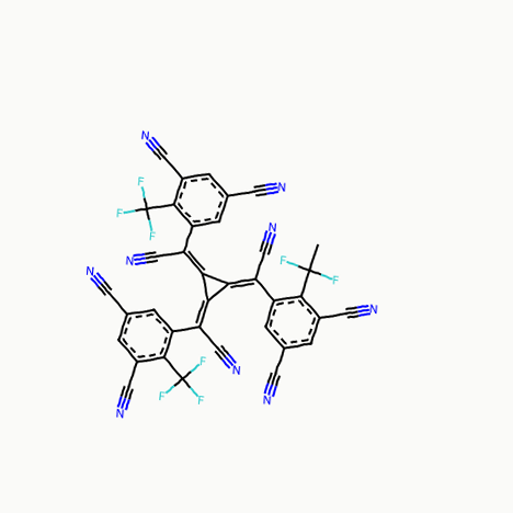 CC(F)(F)c1c(C#N)cc(C#N)cc1/C(C#N)=C1/C(=C(C#N)c2cc(C#N)cc(C#N)c2C(F)(F)F)/C1=C(/C#N)c1cc(C#N)cc(C#N)c1C(F)(F)F